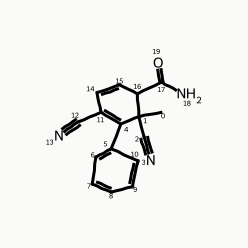 CC1(C#N)C(c2ccccc2)=C(C#N)C=CC1C(N)=O